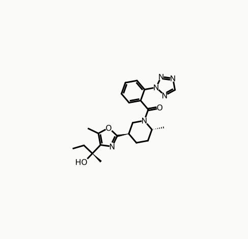 CC[C@@](C)(O)c1nc([C@@H]2CC[C@@H](C)N(C(=O)c3ccccc3-n3ncnn3)C2)oc1C